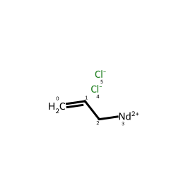 C=C[CH2][Nd+2].[Cl-].[Cl-]